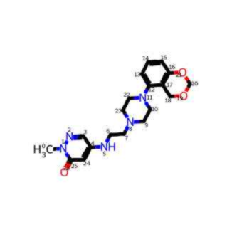 Cn1ncc(NCCN2CCN(c3cccc4c3COCO4)CC2)cc1=O